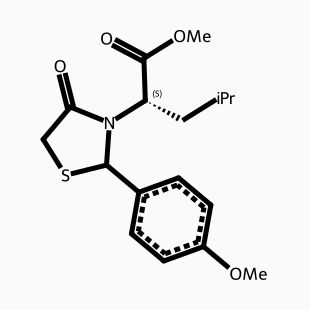 COC(=O)[C@H](CC(C)C)N1C(=O)CSC1c1ccc(OC)cc1